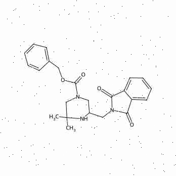 CC1(C)CN(C(=O)OCc2ccccc2)CC(CN2C(=O)c3ccccc3C2=O)N1